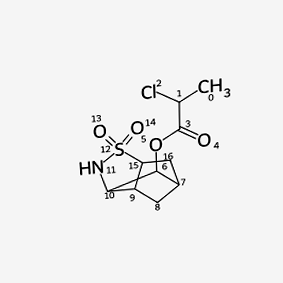 CC(Cl)C(=O)OC1C2CC3C1NS(=O)(=O)C3C2